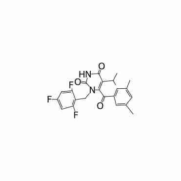 Cc1cc(C)cc(C(=O)c2c(C(C)C)c(=O)[nH]c(=O)n2Cc2c(F)cc(F)cc2F)c1